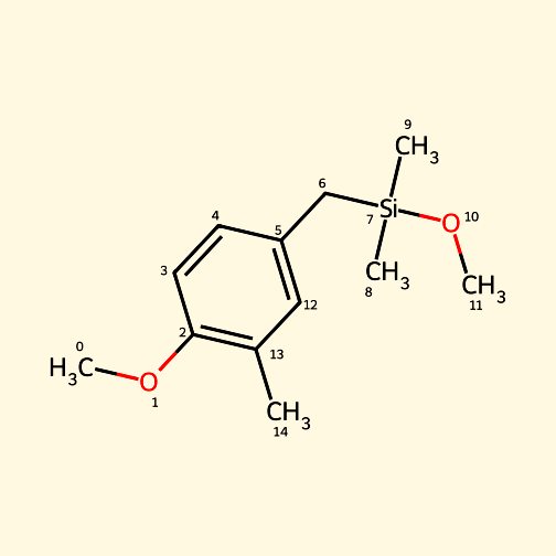 COc1ccc(C[Si](C)(C)OC)cc1C